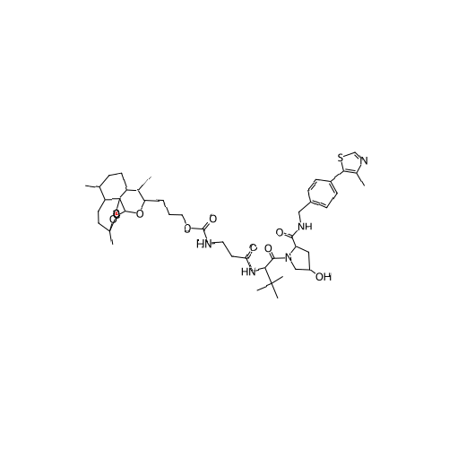 Cc1ncsc1-c1ccc(CNC(=O)C2CC(O)CN2C(=O)C(NC(=O)CCNC(=O)OCCCC2OC3OC4(C)CCC5C(C)CCC(C2C)C35OO4)C(C)(C)C)cc1